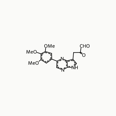 COc1cc(-c2cnc3[nH]cc(CC(=O)C=O)c3n2)cc(OC)c1OC